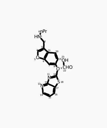 CCCNCc1coc2cc(Oc3nc4ncccc4s3)ccc12.O=CO